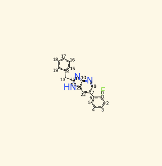 Fc1ccccc1-c1cnc2nc(Cc3ccccc3)[nH]c2c1